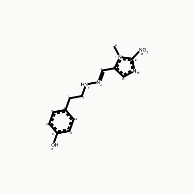 Cn1c(/C=N/NCCc2ccc(O)cc2)cnc1[N+](=O)[O-]